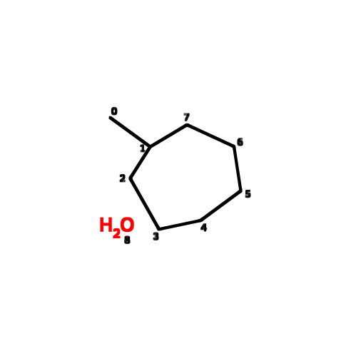 CC1CCCCCC1.O